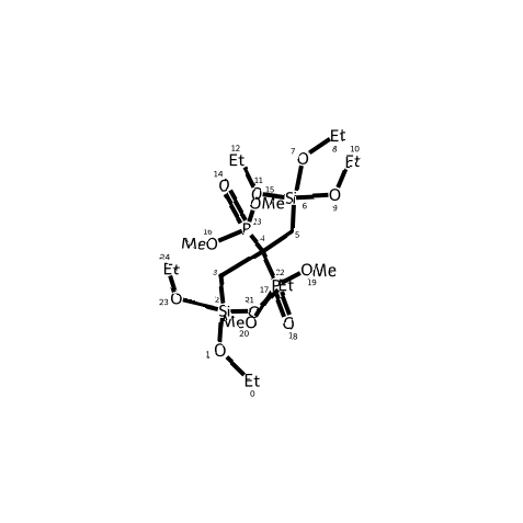 CCO[Si](CC(C[Si](OCC)(OCC)OCC)(P(=O)(OC)OC)P(=O)(OC)OC)(OCC)OCC